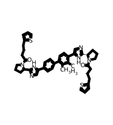 Cc1c(-c2ccc(-c3cnc(C4CCCN4C(=O)C[CH]Cc4cccs4)[nH]3)cc2)ccc(-c2cnc([C@@H]3CCCN3C(=O)C[CH]Cc3cccs3)[nH]2)c1C